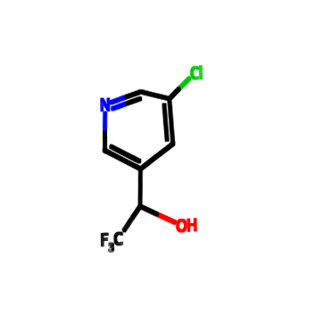 OC(c1cncc(Cl)c1)C(F)(F)F